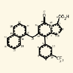 O=C(O)c1csc2c(-c3cccc(C(F)(F)F)c3)c(Cc3cccc4ccccc34)cc(=O)n12